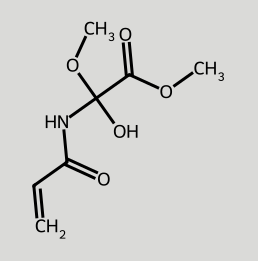 C=CC(=O)NC(O)(OC)C(=O)OC